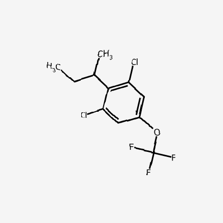 CCC(C)c1c(Cl)cc(OC(F)(F)F)cc1Cl